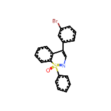 O=S1(c2ccccc2)=NC=C(c2cccc(Br)c2)c2ccccc21